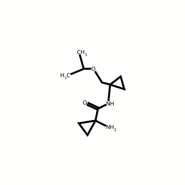 CC(C)OCC1(NC(=O)C2(N)CC2)CC1